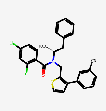 N#Cc1cccc(-c2ccsc2CN(C(=O)c2ccc(Cl)cc2Cl)[C@@H](Cc2ccccc2)C(=O)O)c1